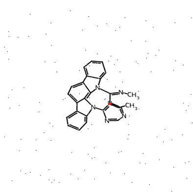 C/C=C\C(=N/C)n1c2ccccc2c2ccc3c4ccccc4n(-c4ncncn4)c3c21